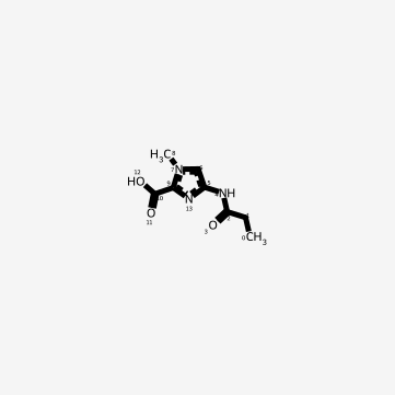 CCC(=O)Nc1cn(C)c(C(=O)O)n1